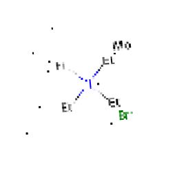 CC[N+](CC)(CC)CC.[Br-].[Mo]